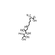 C[C@@H](CCCCNCC(O)C(O)C(O)C(O)CO)C(=O)O